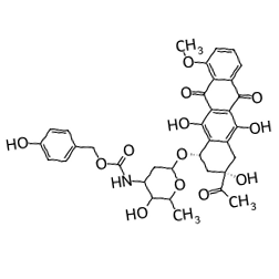 COc1cccc2c1C(=O)c1c(O)c3c(c(O)c1C2=O)C[C@@](O)(C(C)=O)C[C@@H]3OC1CC(NC(=O)OCc2ccc(O)cc2)C(O)C(C)O1